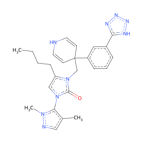 CCCCc1cn(-c2c(C)cnn2C)c(=O)n1CC1(c2cccc(-c3nnn[nH]3)c2)C=CNC=C1